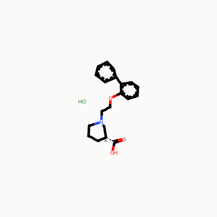 Cl.O=C(O)[C@@H]1CCCN(CCOc2ccccc2-c2ccccc2)C1